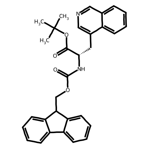 CC(C)(C)OC(=O)[C@H](Cc1cncc2ccccc12)NC(=O)OCC1c2ccccc2-c2ccccc21